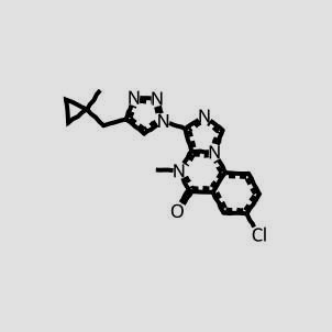 Cn1c(=O)c2cc(Cl)ccc2n2cnc(-n3cc(CC4(C)CC4)nn3)c12